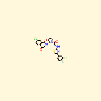 COC1=CNC(O[C@@H]2CCN(C(=O)CNc3nc(-c4ccc(F)c(Cl)c4)cs3)C2)c2cc(Cl)ccc21